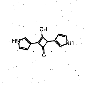 O=C1C(c2cc[nH]c2)=C(O)C1c1cc[nH]c1